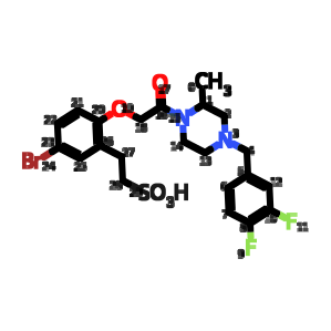 CC1CN(Cc2ccc(F)c(F)c2)CCN1C(=O)COc1ccc(Br)cc1CCS(=O)(=O)O